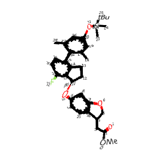 COC(=O)CC1COc2cc(O[C@@H]3CCc4c(-c5c(C)cc(O[Si](C)(C)C(C)(C)C)cc5C)ccc(F)c43)ccc21